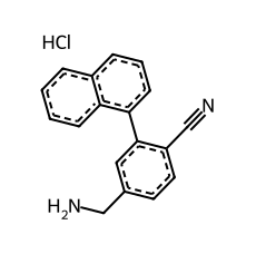 Cl.N#Cc1ccc(CN)cc1-c1cccc2ccccc12